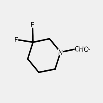 O=[C]N1CCCC(F)(F)C1